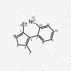 CCC1=NCC(C)=C1c1ccccc1C#N